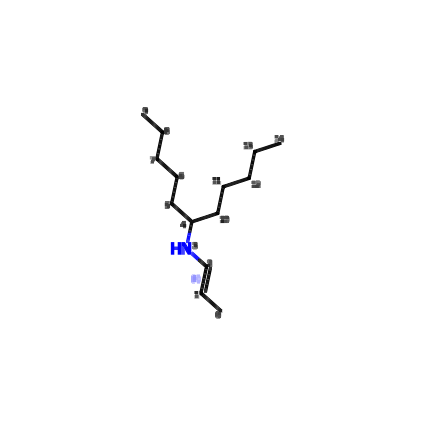 C/C=C/NC(CCCCC)CCCCC